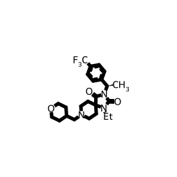 CCN1C(=O)N([C@@H](C)c2ccc(C(F)(F)F)cc2)C(=O)C12CCN(CC1CCOCC1)CC2